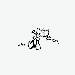 COc1ncc(-c2cccc3cc([C@H](C)Nc4nc(C)ncc4-c4csc(C)n4)n(-c4ccccc4)c(=O)c23)cn1